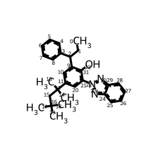 CCC(c1ccccc1)c1cc(C(C)(C)CC(C)(C)C)cc(-n2nc3ccccc3n2)c1O